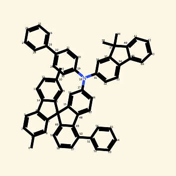 Cc1ccc2c(c1)C1(c3cc(C)ccc3-2)c2cc(N(c3ccc(-c4ccccc4)cc3)c3ccc4c(c3)C(C)(C)c3ccccc3-4)ccc2-c2c(-c3ccccc3)cccc21